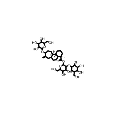 C=C1CC2CCC3[C@](C)(C(=O)OC4OC(CO)C(O)C(O)C4OC4CC(CO)C(O)C(O)C4O)CCC[C@@]3(C)[C@@H]2CCC1OC1OC(CO)C(O)C(O)C1O